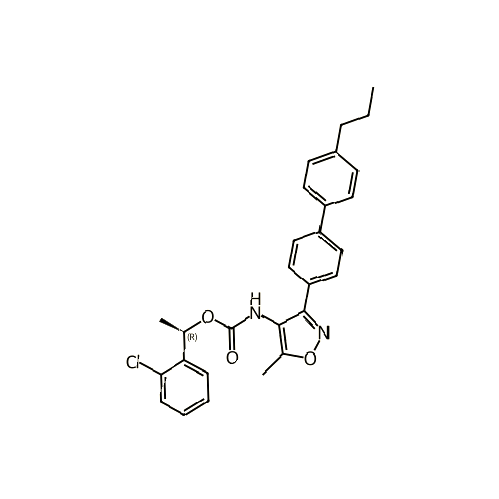 CCCc1ccc(-c2ccc(-c3noc(C)c3NC(=O)O[C@H](C)c3ccccc3Cl)cc2)cc1